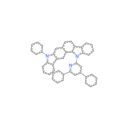 c1ccc(-c2cc(-c3ccccc3)nc(-n3c4ccccc4c4ccc5cc6c(cc5c43)c3ccccc3n6-c3ccccc3)c2)cc1